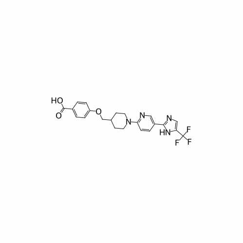 O=C(O)c1ccc(OCC2CCN(c3ccc(-c4ncc(C(F)(F)F)[nH]4)cn3)CC2)cc1